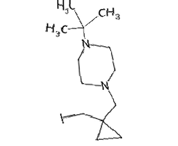 CC(C)(C)N1CCN(CC2(CI)CC2)CC1